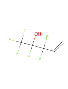 C=CC(F)(F)C(O)(F)C(F)(F)F